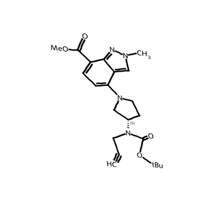 C#CCN(C(=O)OC(C)(C)C)[C@H]1CCN(c2ccc(C(=O)OC)c3nn(C)cc23)C1